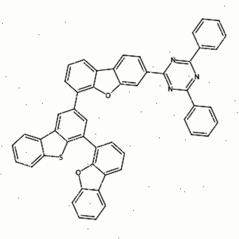 c1ccc(-c2nc(-c3ccccc3)nc(-c3ccc4c(c3)oc3c(-c5cc(-c6cccc7c6oc6ccccc67)c6sc7ccccc7c6c5)cccc34)n2)cc1